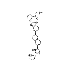 CC(C)(C)OC(=O)N1CCC[C@H]1c1nc2cc(-c3ccc4cc(-c5cnc([C@@H]6CCCN6)[nH]5)ccc4c3)ccc2[nH]1